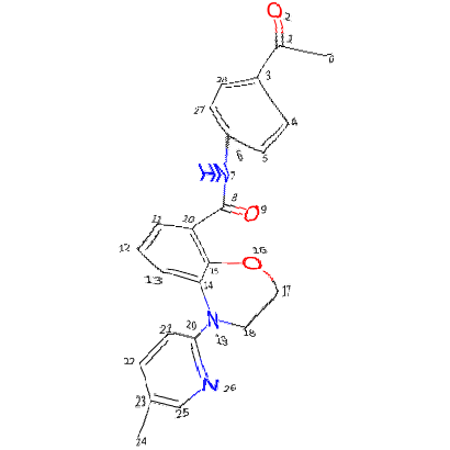 CC(=O)c1ccc(NC(=O)c2cccc3c2OCCN3c2ccc(C)cn2)cc1